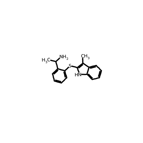 Cc1c(Sc2ccccc2C(C)N)[nH]c2ccccc12